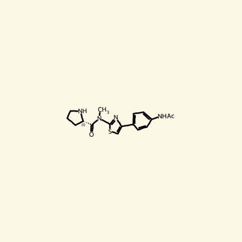 CC(=O)Nc1ccc(-c2csc(N(C)C(=O)[C@@H]3CCCN3)n2)cc1